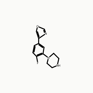 Fc1ccc(-c2cocn2)cc1N1CCNCC1